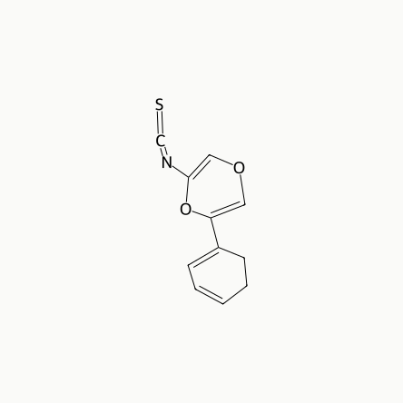 S=C=NC1=COC=C(C2=CC=CCC2)O1